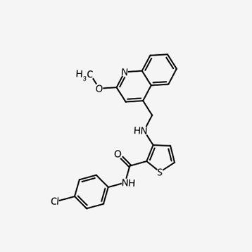 COc1cc(CNc2ccsc2C(=O)Nc2ccc(Cl)cc2)c2ccccc2n1